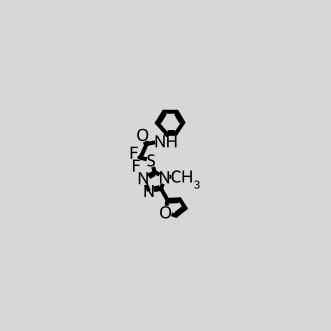 Cn1c(SC(F)(F)C(=O)Nc2ccccc2)nnc1-c1ccco1